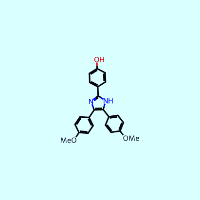 COc1ccc(-c2nc(-c3ccc(O)cc3)[nH]c2-c2ccc(OC)cc2)cc1